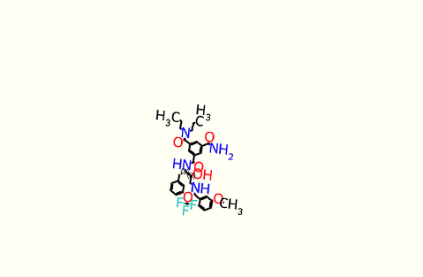 CCCN(CCC)C(=O)c1cc(C(N)=O)cc(C(=O)N[C@@H](Cc2cccc(OC(F)(F)F)c2)[C@H](O)CNCc2cccc(OC)c2)c1